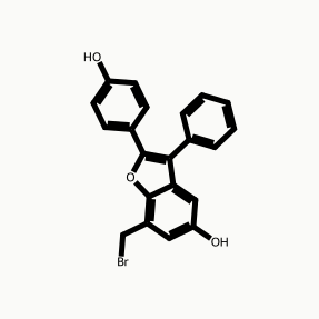 Oc1ccc(-c2oc3c(CBr)cc(O)cc3c2-c2ccccc2)cc1